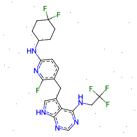 Fc1nc(NC2CCC(F)(F)CC2)ccc1Cc1c[nH]c2ncnc(NCC(F)(F)F)c12